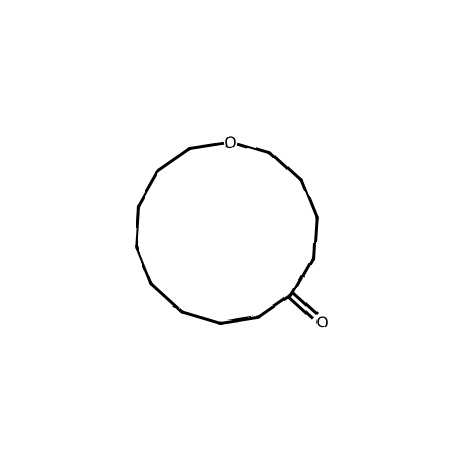 O=C1CCCCCCCCOCCCC1